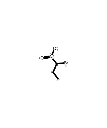 [CH2]CC(Br)[N+](=O)[O-]